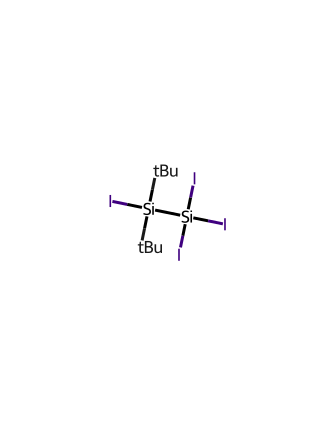 CC(C)(C)[Si](I)(C(C)(C)C)[Si](I)(I)I